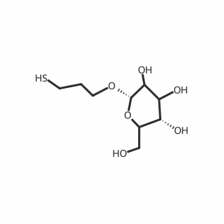 OCC1O[C@H](OCCCS)C(O)C(O)[C@@H]1O